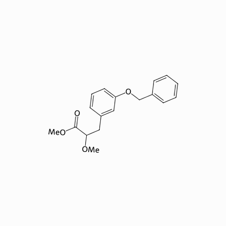 COC(=O)C(Cc1cccc(OCc2ccccc2)c1)OC